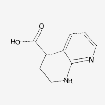 O=C(O)C1CCNc2ncccc21